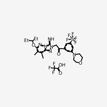 CCC(CC)Oc1nn2c(=N)n(CC(=O)c3cc(N4CCOCC4)cc(S(F)(F)(F)(F)F)c3)nc2c(C)c1C.O=C(O)C(F)(F)F